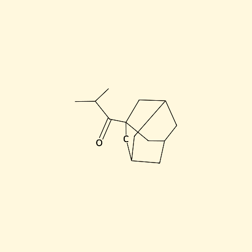 CC(C)C(=O)C12CC3CC(CC(C3)C1)C2